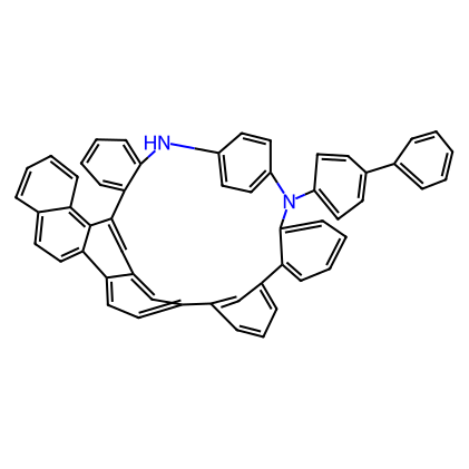 c1ccc(-c2ccc(N3c4ccc(cc4)Nc4ccccc4-c4cc5cc(ccc5c5ccc6ccccc6c45)-c4cccc(c4)-c4ccccc43)cc2)cc1